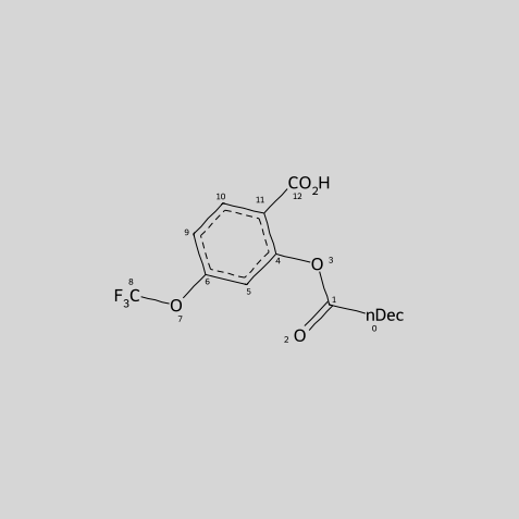 CCCCCCCCCCC(=O)Oc1cc(OC(F)(F)F)ccc1C(=O)O